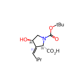 CC(C)/C=C1\[C@@H](C(=O)O)N(C(=O)OC(C)(C)C)C[C@@H]1O